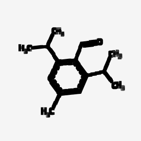 Cc1cc(C(C)C)c(C=O)c(C(C)C)c1